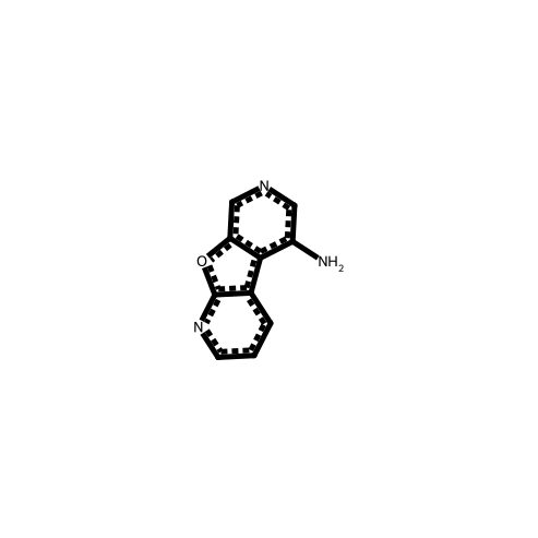 Nc1cncc2oc3ncccc3c12